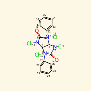 O=C1N(Cl)C2C(N(Cl)C(=O)[N@@+]2(Cl)c2ccccc2)[N+]1(Cl)c1ccccc1